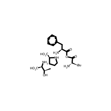 CC[C@H](C)[C@H](N)C(=O)OC(=O)[C@@H](N)Cc1ccccc1.C[C@@H](O)[C@H](N)C(=O)O.O=C(O)[C@@H]1CCCN1